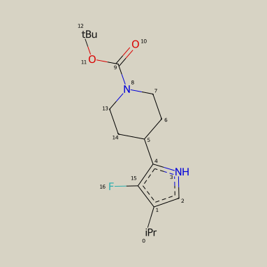 CC(C)c1c[nH]c(C2CCN(C(=O)OC(C)(C)C)CC2)c1F